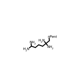 CCCCCCC(N)(N)CCCC(N)N